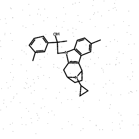 Cc1cccc(C(C)(O)Cn2c3c(c4cc(C)ccc42)C2CCC(C3)N2C2CC2)c1